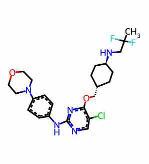 CC(F)(F)CN[C@H]1CC[C@H](COc2nc(Nc3ccc(N4CCOCC4)cc3)ncc2Cl)CC1